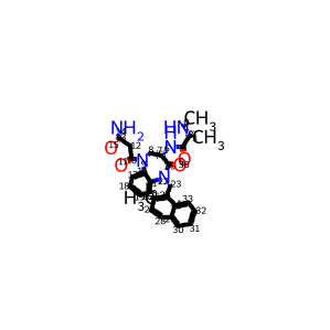 CN[C@@H](C)C(=O)N[C@H]1CN(C(=O)CC(N)=O)c2ccccc2N(Cc2c(C)ccc3ccccc23)C1=O